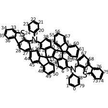 c1ccc(N(c2ccc3c(c2)C2(C4=C3C3(c5cc(N(c6ccccc6)c6cccc7c6sc6ccccc67)ccc54)c4ccccc4-c4ccccc43)c3ccccc3-c3ccccc32)c2cccc3c2sc2ccccc23)cc1